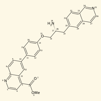 COC(=O)c1ccnc2ccc(-c3ccc(OC[C@H](N)Cc4ccc5cnccc5c4)cc3)cc12